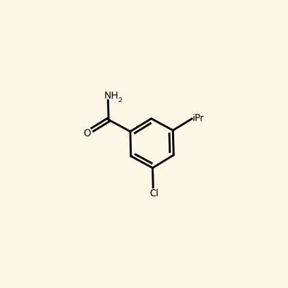 CC(C)c1cc(Cl)cc(C(N)=O)c1